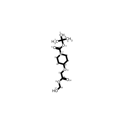 CC(C)(C)OC(=O)N1CCC(OCC(=O)OCO)CC1